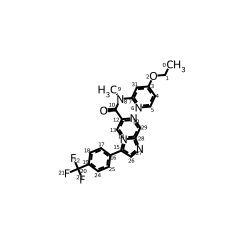 CCOc1ccnc(N(C)C(=O)c2cn3c(-c4ccc(C(F)(F)F)cc4)cnc3cn2)c1